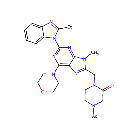 CCc1nc2ccccc2n1-c1nc(N2CCOCC2)c2nc(CN3CCN(C(C)=O)CC3=O)n(C)c2n1